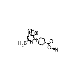 Bc1cn(C)c(=O)c(N2CCC(C(=O)OC#N)CC2)n1